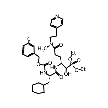 CCOP(=O)(OCC)C(O)[C@H](CCC(=O)N(C)CCc1ccncc1)NC(=O)[C@H](CC1CCCCC1)NC(=O)OCc1cccc(Cl)c1